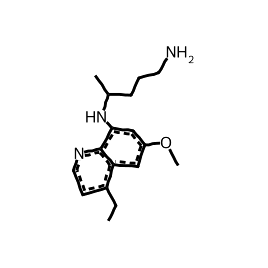 CCc1ccnc2c(NC(C)CCCN)cc(OC)cc12